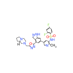 Cc1ncc(-c2cc(-c3nnc(CN4CCN5CCC[C@H]5C4)o3)c3cn[nH]c3c2)cc1NS(=O)(=O)c1ccc(F)cc1F